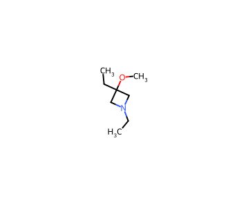 CCN1CC(CC)(OC)C1